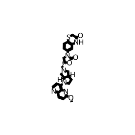 COc1ccc2nccc(N3CC[C@H]4CN(C[C@@H]5CN(c6ccc7c(c6)NC(=O)CS7)C(=O)O5)C[C@H]43)c2n1